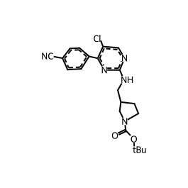 CC(C)(C)OC(=O)N1CCC(CNc2ncc(Cl)c(-c3ccc(C#N)cc3)n2)C1